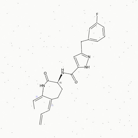 C=C/C=C1/CC[C@H](NC(=O)c2cc(Cc3cccc(F)c3)n[nH]2)C(=O)N/C1=C/C